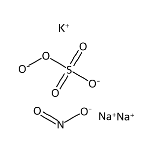 O=N[O-].O=S(=O)([O-])O[O-].[K+].[Na+].[Na+]